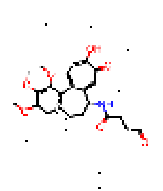 COC1=C(OC)C(OC)CC2=C1c1ccc(O)c(=O)cc1C(NC(=O)CCC=O)CC2